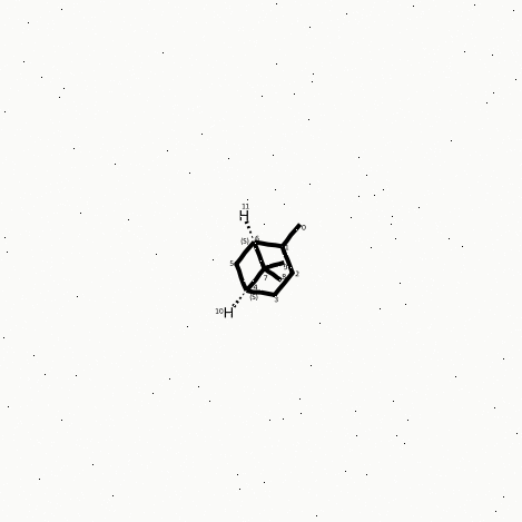 CC1CC[C@H]2C[C@@H]1C2(C)C